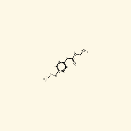 CCOC(=O)Cc1ccc(CSC)cc1